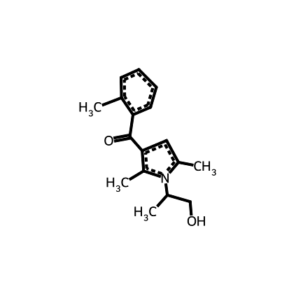 Cc1ccccc1C(=O)c1cc(C)n(C(C)CO)c1C